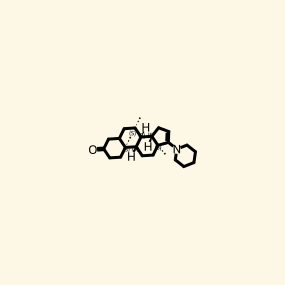 C[C@H]1CC2CC(=O)CC[C@]2(C)[C@H]2CC[C@]3(C)C(N4CCCCC4)=CC[C@H]3[C@H]12